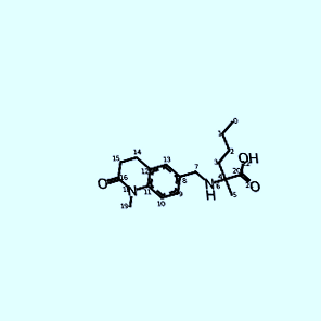 CCCCC(C)(NCc1ccc2c(c1)CCC(=O)N2C)C(=O)O